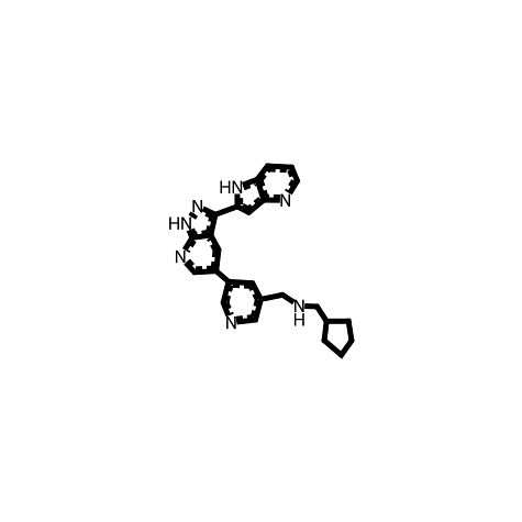 c1cnc2cc(-c3n[nH]c4ncc(-c5cncc(CNCC6CCCC6)c5)cc34)[nH]c2c1